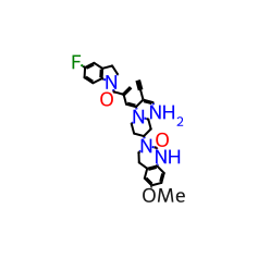 C#CC(=C/N)/C(=C\C(=C)C(=O)N1CCc2cc(F)ccc21)N1CCC(N2CCc3cc(OC)ccc3NC2=O)CC1